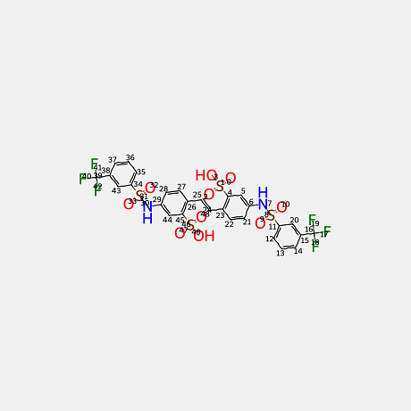 O=S(=O)(O)c1cc(NS(=O)(=O)c2cccc(C(F)(F)F)c2)ccc1/C=C/c1ccc(NS(=O)(=O)c2cccc(C(F)(F)F)c2)cc1S(=O)(=O)O